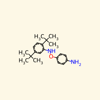 CC(C)(C)c1ccc(C(C)(C)C)c(NOc2ccc(N)cc2)c1